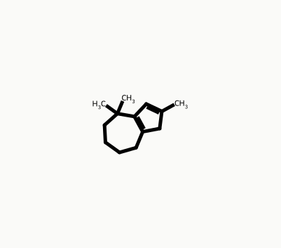 CC1=CC2=C(CCCCC2(C)C)C1